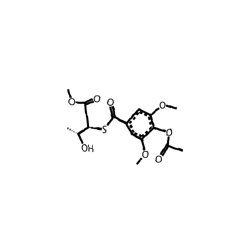 COC(=O)[C@@H](SC(=O)c1cc(OC)c(OC(C)=O)c(OC)c1)[C@@H](C)O